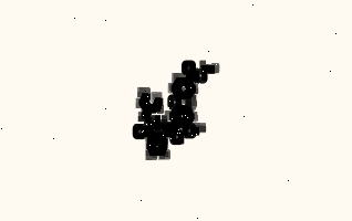 CCOC(=O)C1CCC(Oc2cc(C(=O)NC3C4CCC(C4)C3C(=O)NCC(CC)CC)c(OC)cc2F)CC1